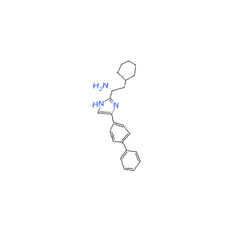 N[C@H](CC1CCCCC1)c1nc(-c2ccc(-c3ccccc3)cc2)c[nH]1